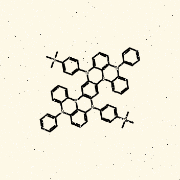 C[Si](C)(C)c1ccc(N2c3cc4c(cc3B3c5ccccc5N(c5ccccc5)c5cccc2c53)N(c2ccc([Si](C)(C)C)cc2)c2cccc3c2B4c2ccccc2N3c2ccccc2)cc1